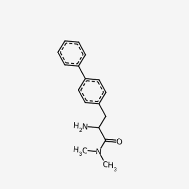 CN(C)C(=O)C(N)Cc1ccc(-c2ccccc2)cc1